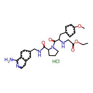 CCOC(=O)CNC(Cc1ccc(OC)cc1)C(=O)N1CCCC1C(=O)NCc1ccc2c(N)nccc2c1.Cl